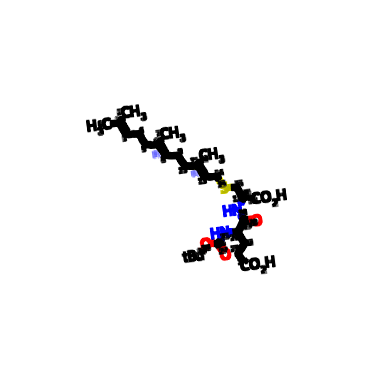 CC(C)=CCC/C(C)=C/CC/C(C)=C/CSC[C@H](NC(=O)C(CCC(=O)O)NC(=O)OC(C)(C)C)C(=O)O